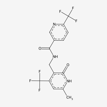 Cc1cc(C(F)(F)F)c(CNC(=O)c2ccc(C(F)(F)F)nc2)c(=O)[nH]1